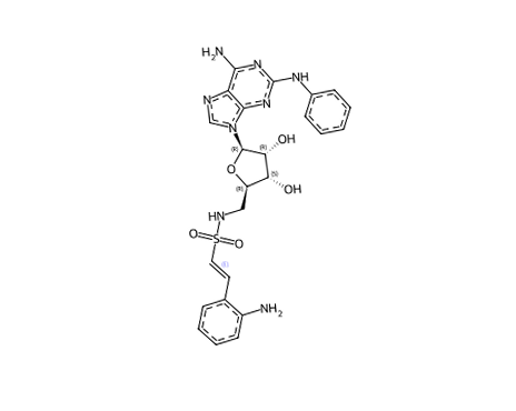 Nc1ccccc1/C=C/S(=O)(=O)NC[C@H]1O[C@@H](n2cnc3c(N)nc(Nc4ccccc4)nc32)[C@H](O)[C@@H]1O